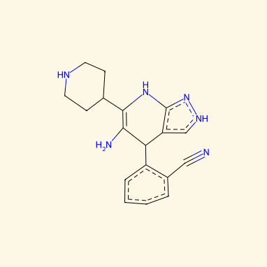 N#Cc1ccccc1C1C(N)=C(C2CCNCC2)Nc2n[nH]cc21